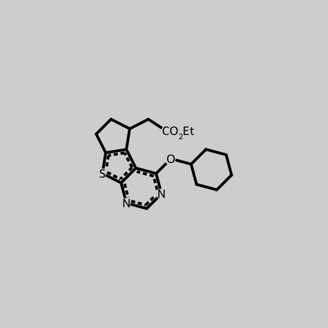 CCOC(=O)CC1CCc2sc3ncnc(OC4CCCCC4)c3c21